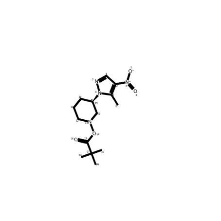 Cc1c([N+](=O)[O-])cnn1[C@@H]1CCCN(OC(=O)C(C)(C)C)C1